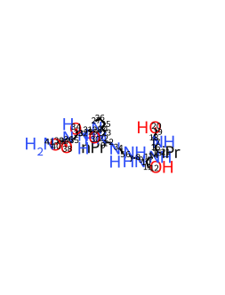 CCCC(CNCCNCCNC(CO)CNC(CNCCO)C(C)C)NCC1CCCN1C(=O)CNC(=O)CNC(=O)CON